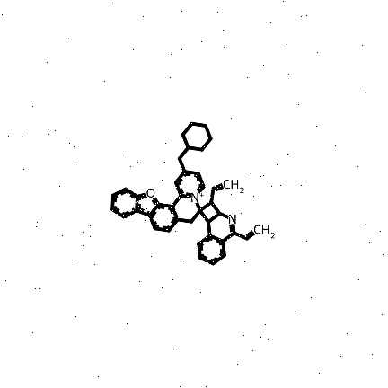 C=CC1=NC2C(C=C)C3(Cc4ccc5c(oc6ccccc65)c4-c4cc(CC5CCCCC5)cc[n+]43)C2c2ccccc21